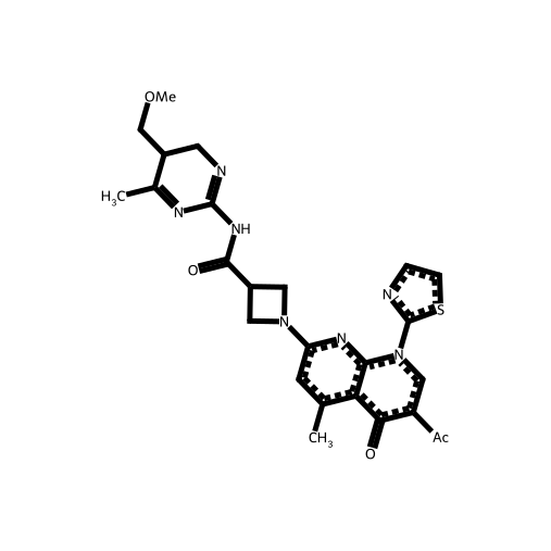 COCC1CN=C(NC(=O)C2CN(c3cc(C)c4c(=O)c(C(C)=O)cn(-c5nccs5)c4n3)C2)N=C1C